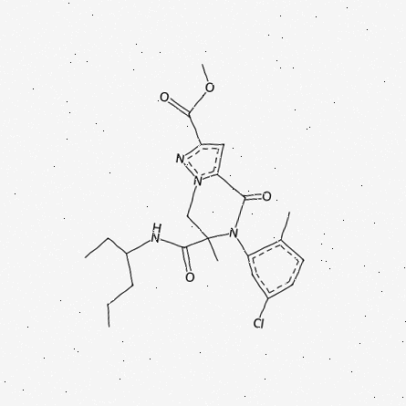 CCCC(CC)NC(=O)C1(C)Cn2nc(C(=O)OC)cc2C(=O)N1c1cc(Cl)ccc1C